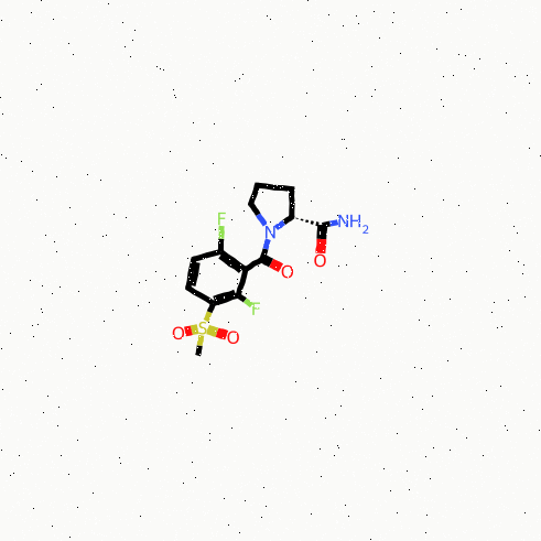 CS(=O)(=O)c1ccc(F)c(C(=O)N2CCC[C@@H]2C(N)=O)c1F